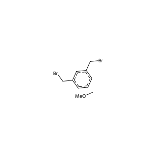 BrCc1cccc(CBr)c1.COC